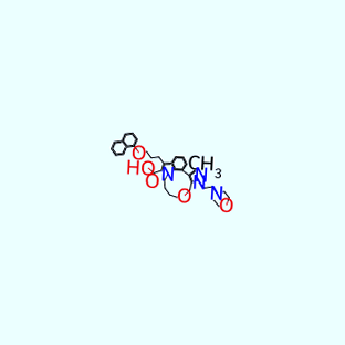 Cc1nn(CCN2CCOCC2)c2c1-c1cccc3c(CCCOc4cccc5ccccc45)c(C(=O)O)n(c13)CCCCOC2